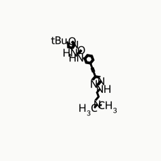 CN(C)CCCNc1ncc(C#Cc2cccc(NC(=O)Nc3cc(C(C)(C)C)on3)c2)cn1